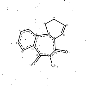 Cn1c(=O)c2c(c3ccccc3c1=O)CCC=C2